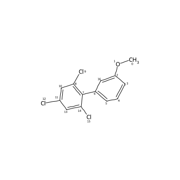 COc1[c]ccc(-c2c(Cl)cc(Cl)cc2Cl)c1